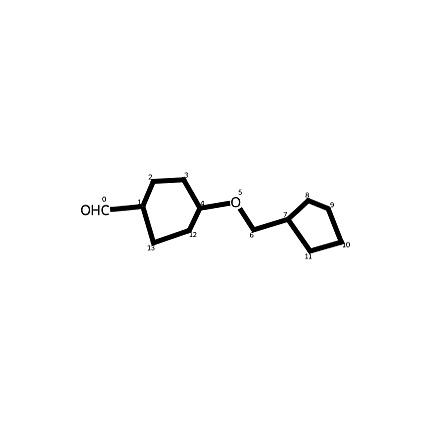 O=CC1CCC(OCC2CCCC2)CC1